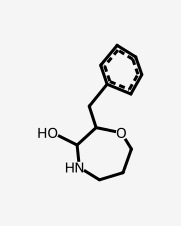 OC1NCCCO[C]1Cc1ccccc1